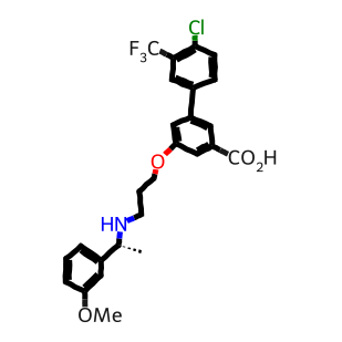 COc1cccc([C@@H](C)NCCCOc2cc(C(=O)O)cc(-c3ccc(Cl)c(C(F)(F)F)c3)c2)c1